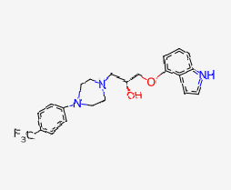 O[C@H](COc1cccc2[nH]ccc12)CN1CCN(c2ccc(C(F)(F)F)cc2)CC1